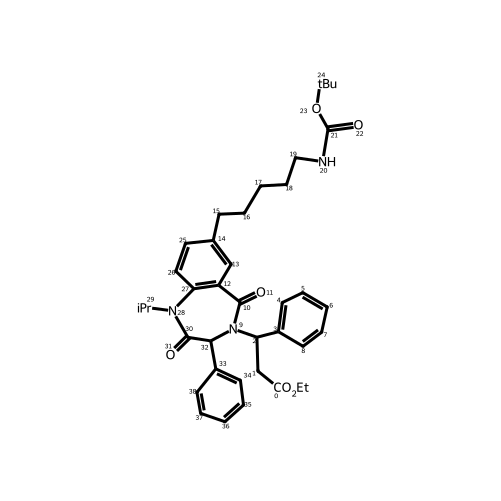 CCOC(=O)CC(c1ccccc1)N1C(=O)c2cc(CCCCCNC(=O)OC(C)(C)C)ccc2N(C(C)C)C(=O)C1c1ccccc1